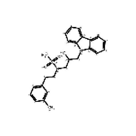 Cc1cccc(CCN(CC(O)Cn2c3ccccc3c3ccccc32)S(C)(=O)=O)c1